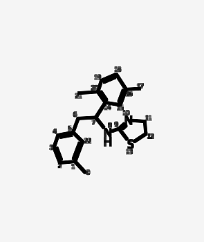 Cc1cccc(CC(NC2=NCCS2)c2cc(C)ccc2C)c1